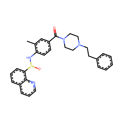 Cc1cc(C(=O)N2CCN(CCc3ccccc3)CC2)ccc1N[S+]([O-])c1cccc2cccnc12